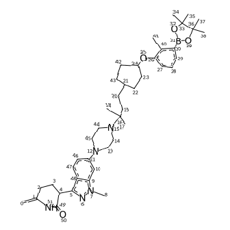 C=C1CCC(c2nn(C)c3cc(N4CCN(C(C)(C)CCC5CCC(Oc6cccc(B7OC(C)(C)C(C)(C)O7)c6C)CC5)CC4)ccc23)C(=O)N1